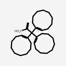 C=C(C(=O)O)C(/C1=C/CCCCCCCC1)(/C1=C/CCCCCCCC1)/C1=C/CCCCCCCC1